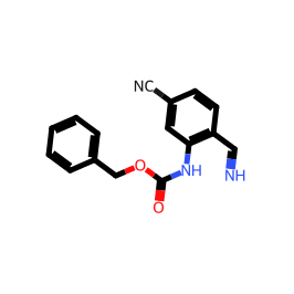 N#Cc1ccc(C=N)c(NC(=O)OCc2ccccc2)c1